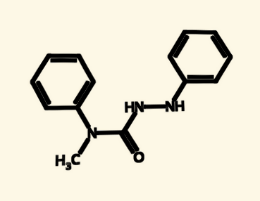 CN(C(=O)NNc1ccccc1)c1ccccc1